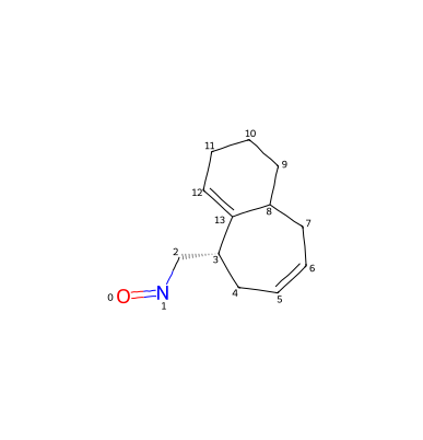 O=NC[C@H]1CC=CCC2CCCC=C21